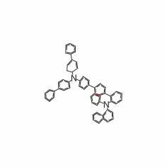 C1=CC(N(c2ccc(-c3ccccc3)cc2)c2ccc(-c3ccc(-c4ccccc4N(c4ccccc4)c4cccc5ccccc45)cc3)cc2)CC=C1c1ccccc1